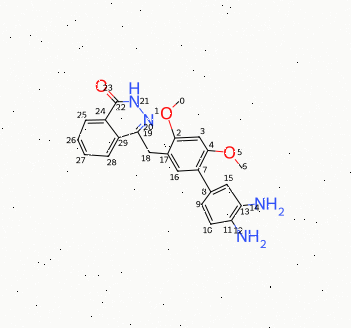 COc1cc(OC)c(-c2ccc(N)c(N)c2)cc1Cc1n[nH]c(=O)c2ccccc12